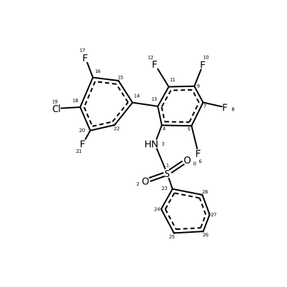 O=S(=O)(Nc1c(F)c(F)c(F)c(F)c1-c1cc(F)c(Cl)c(F)c1)c1ccccc1